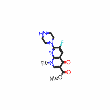 CCn1cc(C(=O)OC)c(=O)c2cc(F)c(N3CCNCC3)nc21